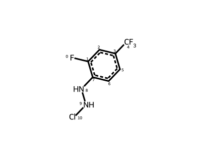 Fc1cc(C(F)(F)F)ccc1NNCl